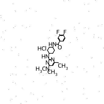 CCc1cc(N(C)C)nc(NC2CCC(NC(=O)c3ccc(F)c(F)c3)CC2)n1.Cl